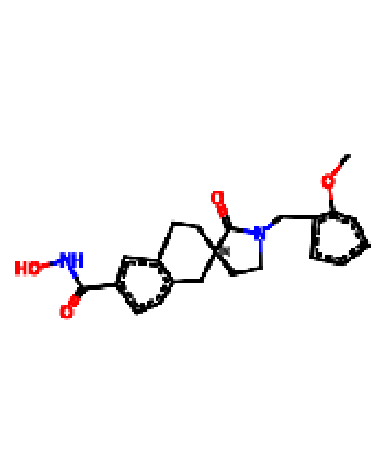 COc1ccccc1CN1CC[C@@]2(CCc3cc(C(=O)NO)ccc3C2)C1=O